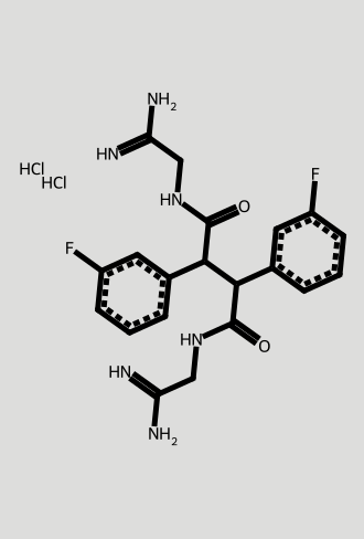 Cl.Cl.N=C(N)CNC(=O)C(c1cccc(F)c1)C(C(=O)NCC(=N)N)c1cccc(F)c1